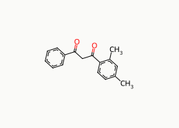 Cc1ccc(C(=O)CC(=O)c2ccccc2)c(C)c1